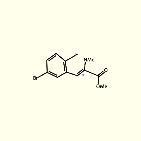 CN/C(=C\c1cc(Br)ccc1F)C(=O)OC